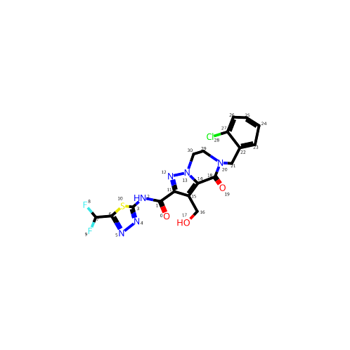 O=C(Nc1nnc(C(F)F)s1)c1nn2c(c1CO)C(=O)N(Cc1ccccc1Cl)CC2